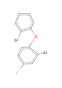 CCc1cc(F)ccc1Oc1ccccc1Br